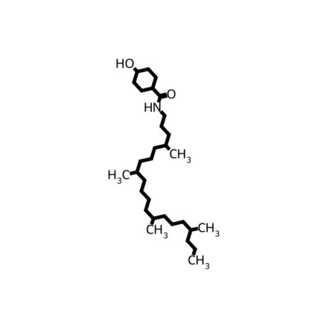 CCCC(C)CCCC(C)CCCCC(C)CCCC(C)CCCNC(=O)C1CCC(O)CC1